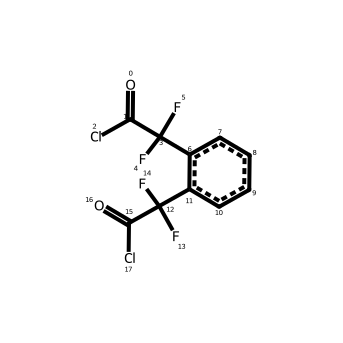 O=C(Cl)C(F)(F)c1ccccc1C(F)(F)C(=O)Cl